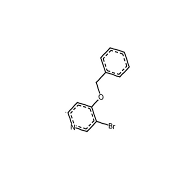 Brc1cn[c]cc1OCc1ccccc1